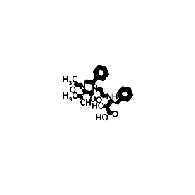 CC(=O)N1C=C(c2ccccc2)N(CC(=O)N[C@@H](Cc2ccccc2)C(O)C(=O)O)C(=O)[C@@H]1C(C)C